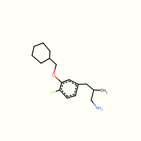 CC(CN)Cc1ccc(F)c(OCC2CCCCC2)c1